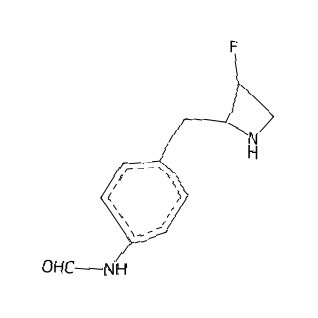 O=CNc1ccc(CC2NCC2F)cc1